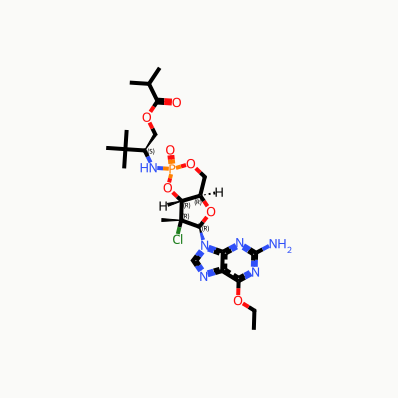 CCOc1nc(N)nc2c1ncn2[C@@H]1O[C@@H]2COP(=O)(N[C@H](COC(=O)C(C)C)C(C)(C)C)O[C@H]2[C@@]1(C)Cl